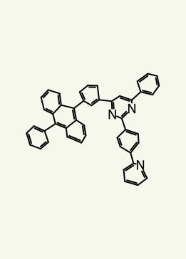 c1ccc(-c2cc(-c3cccc(-c4c5ccccc5c(-c5ccccc5)c5ccccc45)c3)nc(-c3ccc(-c4ccccn4)cc3)n2)cc1